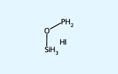 I.[SiH3]OP